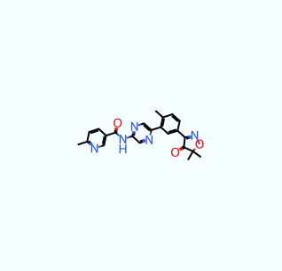 Cc1ccc(C(=O)Nc2cnc(-c3cc(C4=NOC(C)(C)C4=O)ccc3C)cn2)cn1